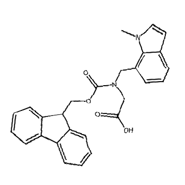 Cn1ccc2cccc(CN(CC(=O)O)C(=O)OCC3c4ccccc4-c4ccccc43)c21